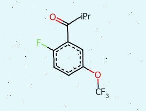 CC(C)C(=O)c1cc(OC(F)(F)F)ccc1F